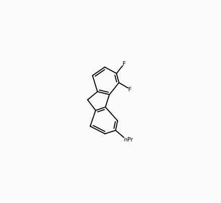 CCCc1ccc2c(c1)-c1c(ccc(F)c1F)C2